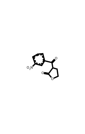 O=C1OCCC1C(=O)c1cccc([N+](=O)[O-])c1